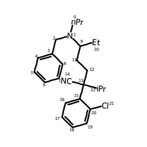 CCCN(Cc1ccccc1)C(CC)CCC(C#N)(c1ccccc1Cl)C(C)C